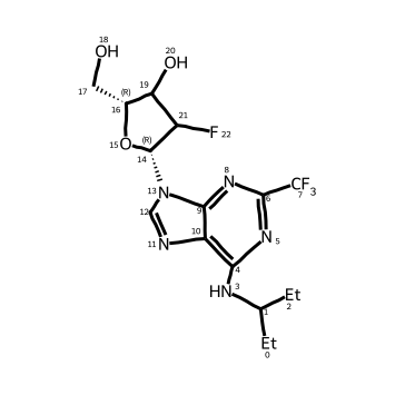 CCC(CC)Nc1nc(C(F)(F)F)nc2c1ncn2[C@@H]1O[C@H](CO)C(O)C1F